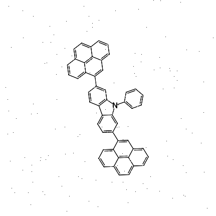 c1ccc(-n2c3cc(-c4cc5cccc6ccc7cccc4c7c65)ccc3c3ccc(-c4cc5cccc6ccc7cccc4c7c65)cc32)cc1